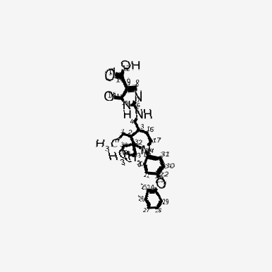 CCC1C(CNc2ncc(C(=O)O)c(=O)[nH]2)CCN(c2ccc(Oc3ccccc3)cc2)C1(CC)CC